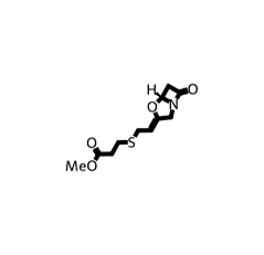 COC(=O)CCSCC=C1CN2C(=O)C[C@H]2O1